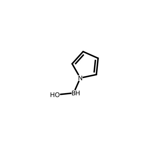 OBn1cccc1